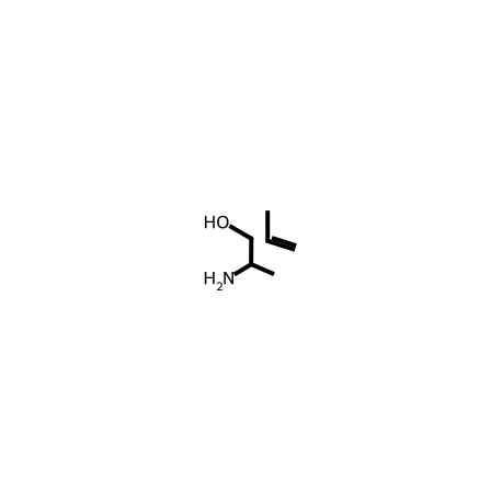 C=CC.CC(N)CO